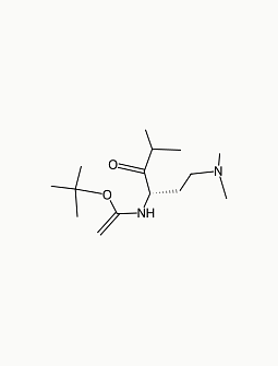 C=C(N[C@@H](CCN(C)C)C(=O)C(C)C)OC(C)(C)C